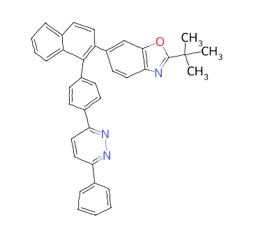 CC(C)(C)c1nc2ccc(-c3ccc4ccccc4c3-c3ccc(-c4ccc(-c5ccccc5)nn4)cc3)cc2o1